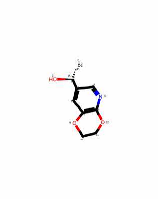 CC[C@@H](C)[C@H](O)c1cnc2c(c1)OCCO2